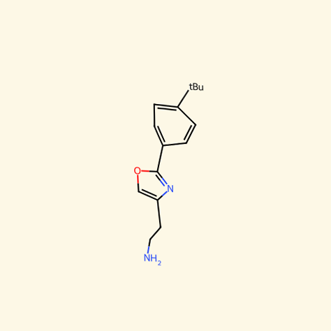 CC(C)(C)c1ccc(-c2nc(CCN)co2)cc1